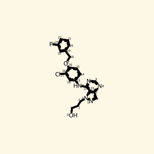 OCCCn1ncc2ncnc(Nc3ccc(OCc4cccc(F)c4)c(Cl)c3)c21